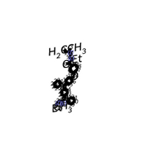 C=C/C(C)=C\C=C(/CC)C(=O)C1C=CC(Oc2ccc(N(c3ccccc3)c3ccc(N(C(/C=C\C)=C/CC)c4ccccc4)cc3)cc2)=CCC1